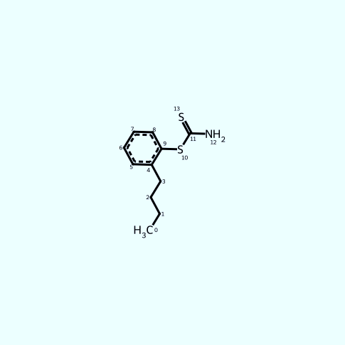 CCCCc1ccccc1SC(N)=S